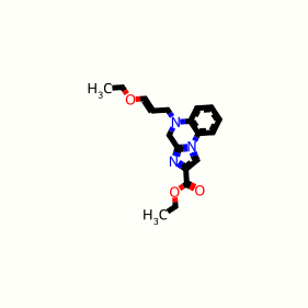 CCOC=CCN1Cc2nc(C(=O)OCC)cn2-c2ccccc21